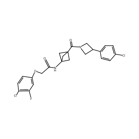 O=C(COc1ccc(Cl)c(F)c1)NC12CC(C(=O)N3CC(c4ccc(Cl)cc4)C3)(C1)C2